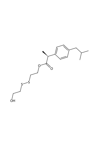 CC(C)Cc1ccc([C@H](C)C(=O)OCCSSCCO)cc1